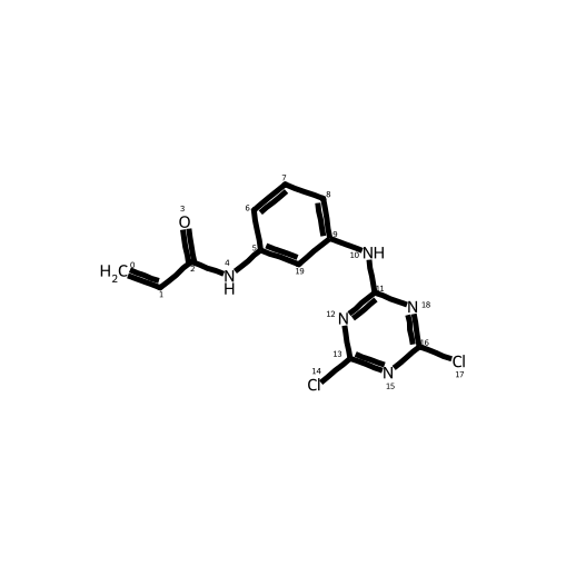 C=CC(=O)Nc1cccc(Nc2nc(Cl)nc(Cl)n2)c1